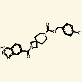 O=C(OCc1ccc(Cl)cc1)N1CCC2(CC1)CN(C(=O)c1ccc3[nH]nnc3c1)C2